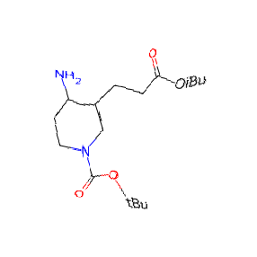 CC(C)COC(=O)CCC1CN(C(=O)OC(C)(C)C)CCC1N